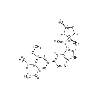 COc1cc(-c2cnc3[nH]cc(C(=O)[C@@]4(C)CC[C@H](O)C4)c3n2)cc(OC)c1OC